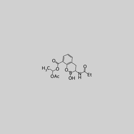 CCC(=O)NC1Cc2cccc(C(=O)OC(C)OC(C)=O)c2OB1O